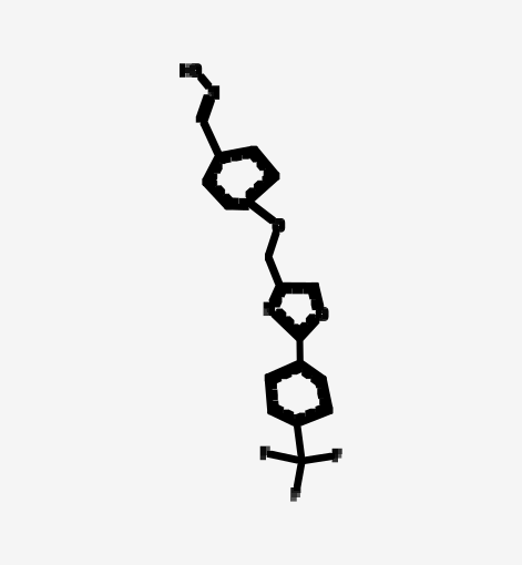 O/N=C/c1ccc(OCc2coc(-c3ccc(C(F)(F)F)cc3)n2)cc1